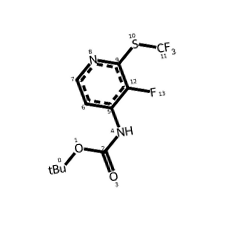 CC(C)(C)OC(=O)Nc1ccnc(SC(F)(F)F)c1F